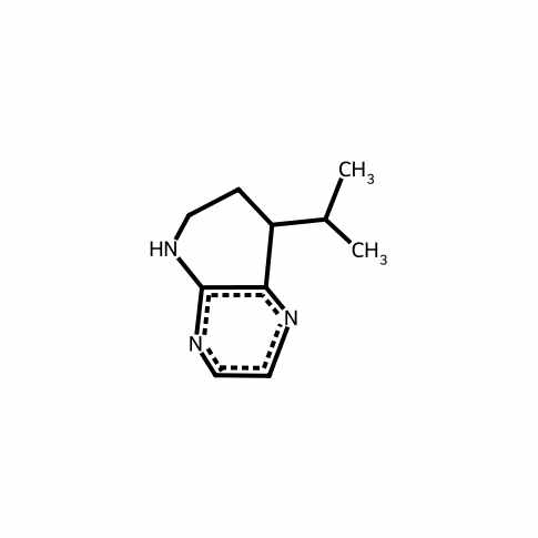 CC(C)C1CCNc2nccnc21